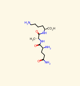 C[C@@H](NC(=O)[C@@H](N)CCC(N)=O)C(=O)N[C@@H](CCCCN)C(=O)O